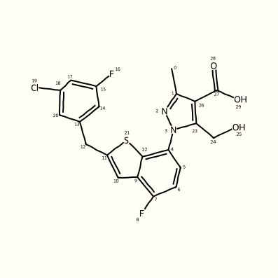 Cc1nn(-c2ccc(F)c3cc(Cc4cc(F)cc(Cl)c4)sc23)c(CO)c1C(=O)O